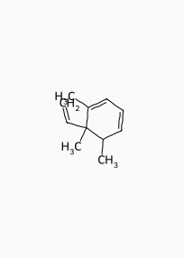 C=CC1(C)C(C)=CC=CC1C